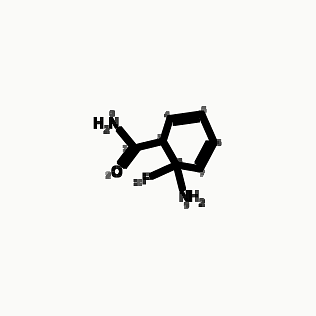 NC(=O)C1C=CC=CC1(N)F